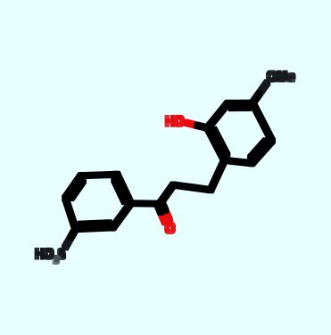 COc1ccc(CCC(=O)c2cccc(S(=O)(=O)O)c2)c(O)c1